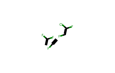 C#CF.C=C(F)F.FC=C(F)Cl